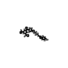 CC(=O)c1cc(C(C)=O)cc(C(=O)c2ccc(OCCCCCCOc3ccc(C)cc3)cc2)c1